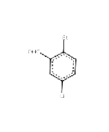 CCc1ccc(Cl)cc1C=O